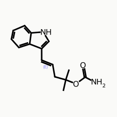 CC(C)(C/C=C/c1c[nH]c2ccccc12)OC(N)=O